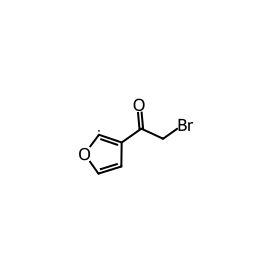 O=C(CBr)c1[c]occ1